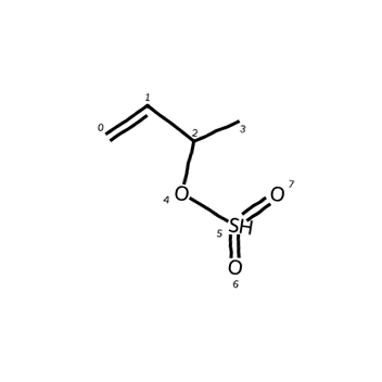 C=CC(C)O[SH](=O)=O